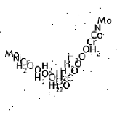 O.O.O.O.O.O.O.O.O.O.O.[Co].[Cr].[Cr].[Mo].[Mo].[Ni].[Ni]